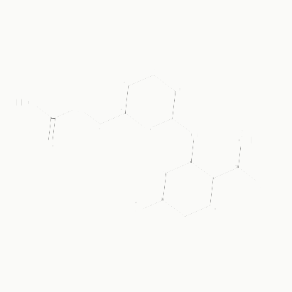 CC(=O)OCC1CCCC(OC2CC(C)CCC2C(C)C)O1